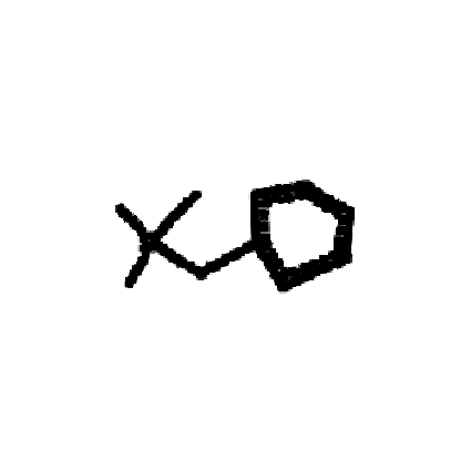 C[Si](C)(C)Cc1ccccc1